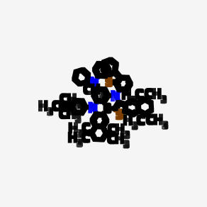 CC(C)(C)c1ccc(N2c3cc4c(cc3B3c5sc6cc7c(cc6c5N(c5cccc6c5sc5ccccc56)c5cc(N(c6ccccc6)C6(C)C=CC=CC6)cc2c53)C(C)(C)CCC7(C)C)C(C)(C)CCC4(C)C)cc1